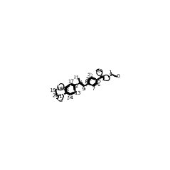 CCOC(=O)c1ccc(/C=C(\C)c2ccc3c(c2)OCCO3)cc1